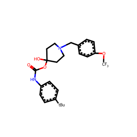 CC(C)(C)c1ccc(NC(=O)OC2(O)CCN(Cc3ccc(OC(F)(F)F)cc3)CC2)cc1